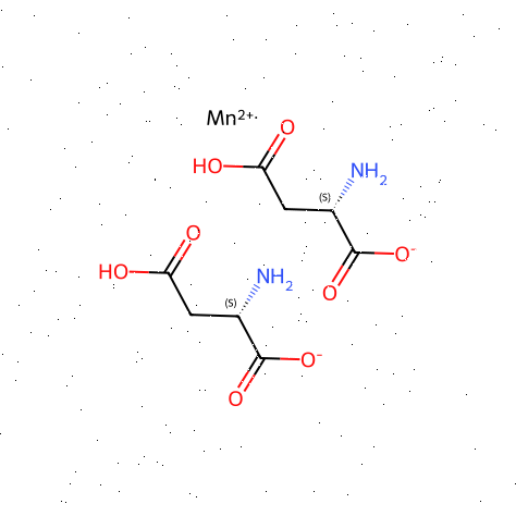 N[C@@H](CC(=O)O)C(=O)[O-].N[C@@H](CC(=O)O)C(=O)[O-].[Mn+2]